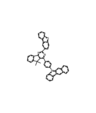 CC1(C)c2ccccc2-c2nc(-c3ccc4sc5ccccc5c4c3)nc(-c3ccc(-n4c5ccccc5c5cc6ccccc6cc54)cc3)c21